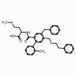 CSCCC(NC(=O)c1cc(Cc2ccccc2)c(COCCc2ccccc2)cc1-c1ccccc1C)C(=O)O